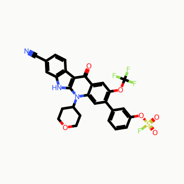 N#Cc1ccc2c(c1)[nH]c1c2c(=O)c2cc(OC(F)(F)F)c(-c3cccc(OS(=O)(=O)F)c3)cc2n1C1CCOCC1